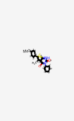 COc1ccc(-c2sc3[nH]c(=O)n(-c4ccccc4)c(=O)c3c2C)cc1